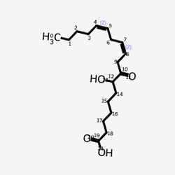 CCCC/C=C\C/C=C\CC(=O)C(O)CCCCCC(=O)O